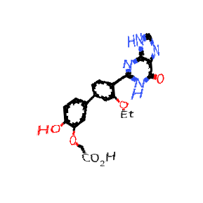 CCOc1cc(-c2ccc(O)c(OCC(=O)O)c2)ccc1-c1nc2[nH]cnc2c(=O)[nH]1